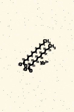 CCCCCCCCCCCC(=O)[O-].CCCCCCCCCCCC(=O)[O-].[Yb+2]